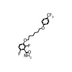 NC(=O)c1c(F)ccc(OCCCCCCOc2ccc(C(F)(F)F)cc2)c1F